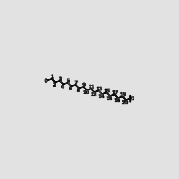 CCCCCCCCCCCCCCCCCCCCCI